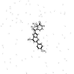 Cc1ccc(-c2cc(C(C)C)c3nc(C(=O)N4CCNC(=O)C4(C)C)cn3n2)cc1